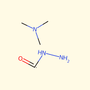 CN(C)C.NN[C]=O